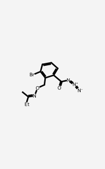 CCC(C)=NOCc1c(Br)cccc1C(=O)N=[N+]=[N-]